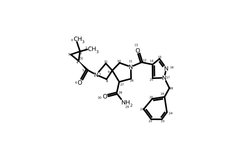 CC1(C)C[C@@H]1C(=O)N1CC2(CN(C(=O)c3cnn(Cc4ccccc4)c3)CC2C(N)=O)C1